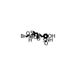 O=C(CBr)Nc1nc(CN(CCc2ccc(O)c3[nH]c(=O)sc23)C(=O)O)cs1